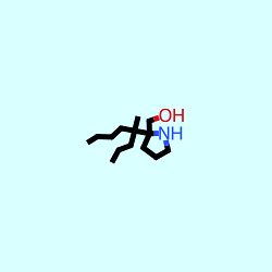 CCCCC(C)(CCC)C1(CO)CCCN1